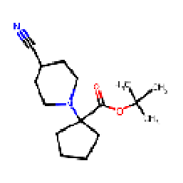 CC(C)(C)OC(=O)C1(N2CCC(C#N)CC2)CCCC1